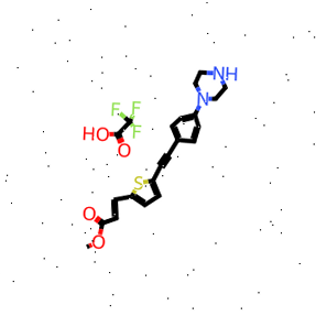 COC(=O)/C=C/c1ccc(C#Cc2ccc(N3CCNCC3)cc2)s1.O=C(O)C(F)(F)F